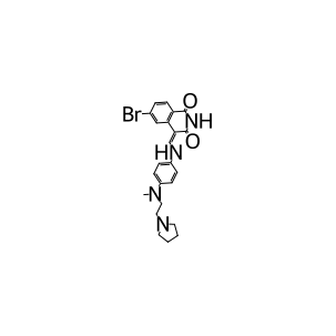 CN(CCN1CCCC1)c1ccc(N/C=C2\C(=O)NC(=O)c3ccc(Br)cc32)cc1